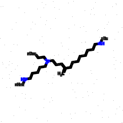 C=C(CCCCCCCCNCCCC)CCCN(CCCCCCCCCCCC)CCCCCNCCCCCC